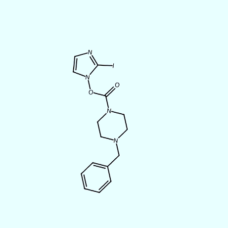 O=C(On1ccnc1I)N1CCN(Cc2ccccc2)CC1